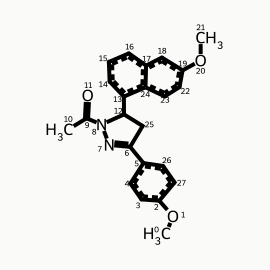 COc1ccc(C2=NN(C(C)=O)C(c3cccc4cc(OC)ccc34)C2)cc1